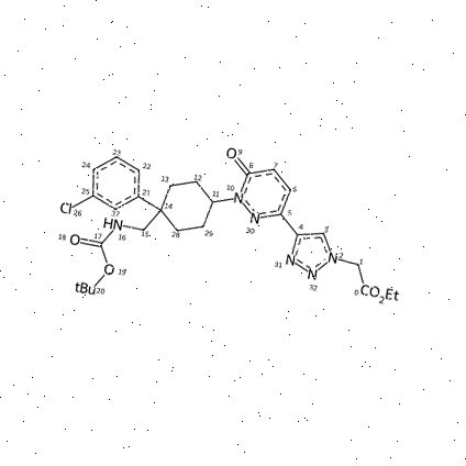 CCOC(=O)Cn1cc(-c2ccc(=O)n(C3CCC(CNC(=O)OC(C)(C)C)(c4cccc(Cl)c4)CC3)n2)nn1